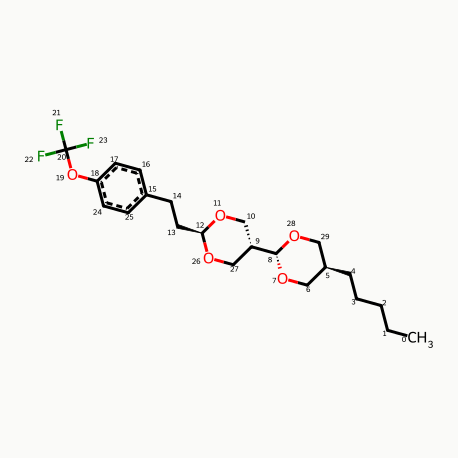 CCCCC[C@H]1CO[C@H]([C@H]2CO[C@H](CCc3ccc(OC(F)(F)F)cc3)OC2)OC1